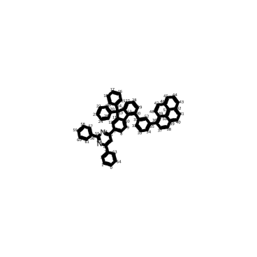 c1ccc(-c2cc(-c3ccc4c(c3)C(c3ccccc3)(c3ccccc3)c3cccc(-c5cccc(-c6ccc7ccc8cccc9ccc6c7c89)c5)c3-4)nc(-c3ccccc3)n2)cc1